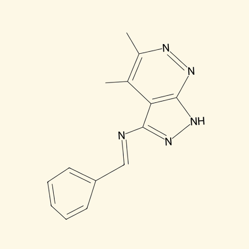 Cc1nnc2[nH]nc(N=Cc3ccccc3)c2c1C